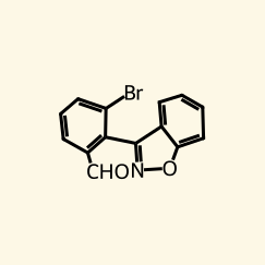 O=Cc1cccc(Br)c1-c1noc2ccccc12